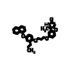 CCCc1cc(Oc2cccc3ccccc23)ccc1OCCCOc1cccc(C2(C)NC(=O)SC2=O)c1